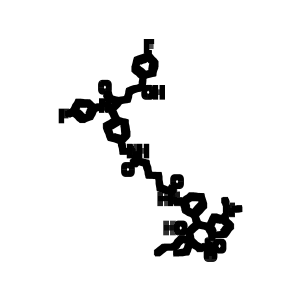 CCCCC1(CC)CS(=O)(=O)c2ccc(N(C)C)cc2C(c2cccc(NC(=O)CCCCC(=O)NCc3ccc(C4C(CCC(O)c5ccc(F)cc5)C(=O)N4c4ccc(F)cc4)cc3)c2)C1O